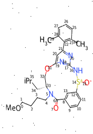 COCCCCN1C(=O)c2cccc(c2)[S+]([O-])Nc2nc(cc(-c3c(C)cccc3C)n2)OC[C@H]1CC(C)C